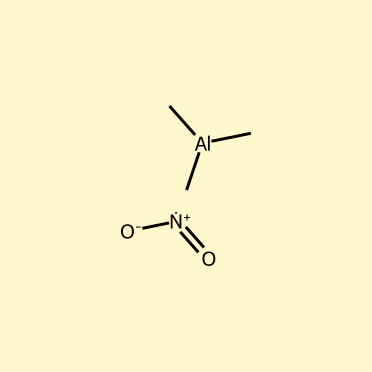 O=[N+][O-].[CH3][Al]([CH3])[CH3]